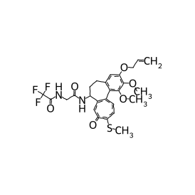 C=CCOc1cc2c(c(OC)c1OC)-c1ccc(SC)c(=O)cc1C(NC(=O)CNC(=O)C(F)(F)F)CC2